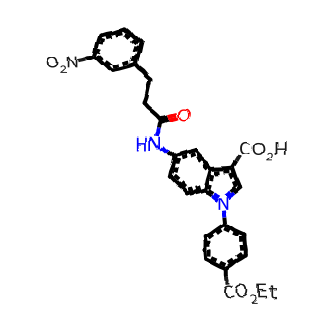 CCOC(=O)c1ccc(-n2cc(C(=O)O)c3cc(NC(=O)CCc4cccc([N+](=O)[O-])c4)ccc32)cc1